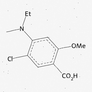 CCN(C)c1cc(OC)c(C(=O)O)cc1Cl